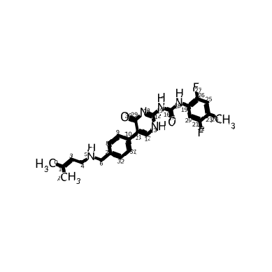 CC(C)=CCNCc1ccc(-c2c[nH]c(NC(=O)Nc3cc(F)c(C)cc3F)nc2=O)cc1